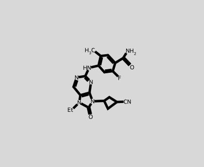 CCn1c(=O)n(C2CC(C#N)C2)c2nc(Nc3cc(F)c(C(N)=O)cc3C)ncc21